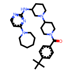 CC(C)(C)c1ccc(C(=O)N2CCC(N3CCCC(Nc4nccc(N5CCCCCC5)n4)C3)CC2)cc1